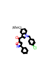 COc1ccc2c(c1)c(C(=O)c1cc(-c3ccccc3)no1)cn2Cc1ccc(Cl)cc1